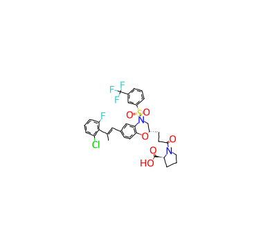 C/C(=C\c1ccc2c(c1)N(S(=O)(=O)c1cccc(C(F)(F)F)c1)C[C@H](CCC(=O)N1CCC[C@H]1C(=O)O)O2)c1c(F)cccc1Cl